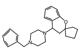 c1ccc(CN2CCN(C3CC4(CCCC4)Oc4ccccc43)CC2)cc1